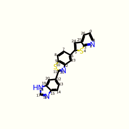 c1cnc2sc(-c3ccc4sc(-c5ccc6nc[nH]c6c5)nc4c3)cc2c1